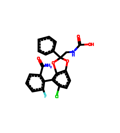 NC(=O)c1cccc(F)c1-c1c(Cl)ccc2c1OC(CNC(=O)O)(c1ccccc1)O2